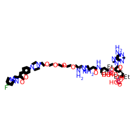 CCC(CC)(C[C@@H]1O[C@H](n2cnc3c(N)ncnc32)C(OP(=O)(O)C(CC)(CC)CC(CO)NC(=O)CCCN(N)/C=C(\N)COCCOCCOCCOCCN2CCN(c3ccc4cc(-c5cn6ccc(F)cc6n5)c(=O)oc4c3)CC2)C1O)OP(=O)(O)O